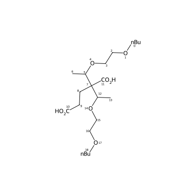 CCCCOCCOC(C)C(CCC(=O)O)(C(=O)O)C(C)OCCOCCCC